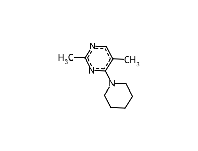 Cc1ncc(C)c(N2CCCCC2)n1